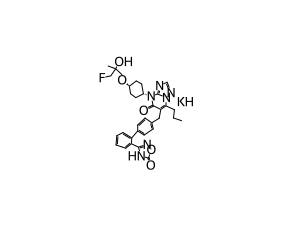 CCCc1c(Cc2ccc(-c3ccccc3-c3noc(=O)[nH]3)cc2)c(=O)n([C@H]2CC[C@H](OCC(C)(O)CF)CC2)c2ncnn12.[KH]